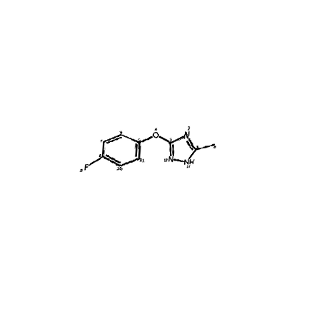 Cc1nc(Oc2ccc(F)cc2)n[nH]1